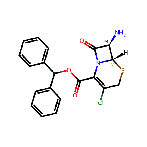 N[C@@H]1C(=O)N2C(C(=O)OC(c3ccccc3)c3ccccc3)=C(Cl)CS[C@@H]12